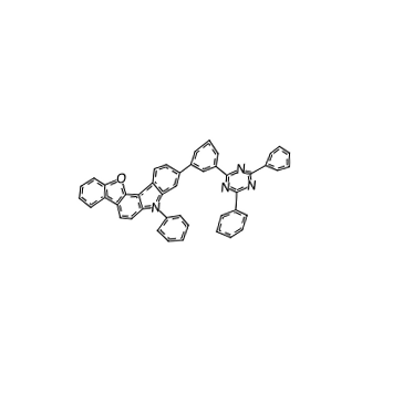 c1ccc(-c2nc(-c3ccccc3)nc(-c3cccc(-c4ccc5c6c7oc8ccccc8c7ccc6n(-c6ccccc6)c5c4)c3)n2)cc1